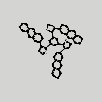 c1ccc2cc3cc(C4=C(c5cc(-c6sccc6-c6ccc7cc8ccccc8cc7c6)cc(-c6sccc6-c6ccc7cc8ccccc8cc7c6)c5)SCC4)ccc3cc2c1